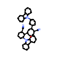 N#Cc1ccc(-c2c(C#N)cccc2-n2c3ccccc3c3ccccc32)cc1-c1cccc(-n2c3ccccc3c3ccccc32)c1